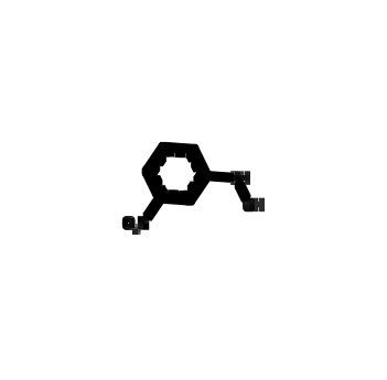 O=[N+]([O-])c1cccc(BO)c1